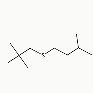 CC(C)CCSCC(C)(C)C